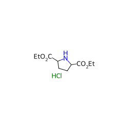 CCOC(=O)C1CCC(C(=O)OCC)N1.Cl